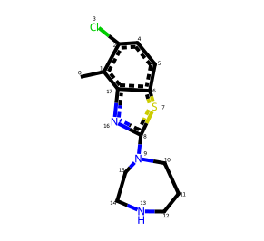 Cc1c(Cl)ccc2sc(N3CCCNCC3)nc12